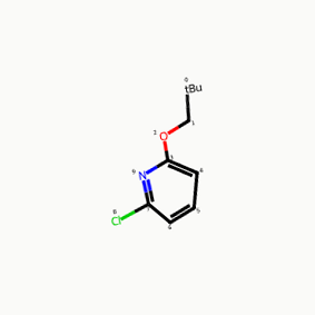 CC(C)(C)COc1cccc(Cl)n1